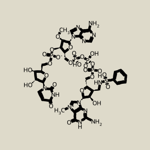 CO[C@@H]1[C@H](OP(=O)([O-])OC[C@H]2O[C@@H](n3ccc(=O)[nH]c3=O)[C@H](O)[C@@H]2O)[C@@H](COP(=O)(O)OP(=O)(O)OP(=O)(O)OC[C@H]2O[C@@H](n3c[n+](C)c4c(=O)[nH]c(N)nc43)[C@H](O)[C@@H]2CNS(=O)(=O)c2ccccc2)O[C@H]1n1cnc2c(N)ncnc21